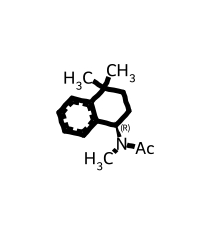 CC(=O)N(C)[C@@H]1CCC(C)(C)c2ccccc21